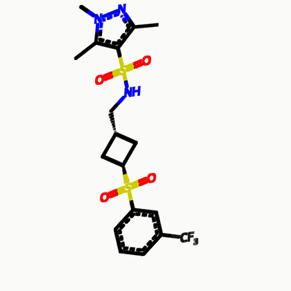 Cc1nn(C)c(C)c1S(=O)(=O)NC[C@H]1C[C@H](S(=O)(=O)c2cccc(C(F)(F)F)c2)C1